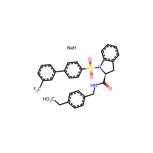 O=C(O)Cc1ccc(CNC(=O)[C@@H]2Cc3ccccc3N2S(=O)(=O)c2ccc(-c3cccc(C(F)(F)F)c3)cc2)cc1.[NaH]